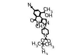 CC(O)c1cc(C#N)cc2c(=O)n(C)c3c(cnn3C3CCN(C(=O)OC(C)(C)C)CC3)c12